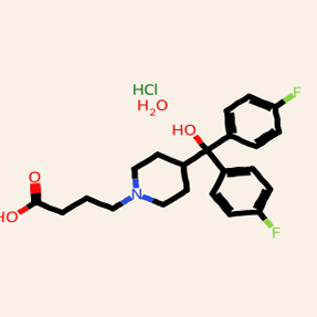 Cl.O.O=C(O)CCCN1CCC(C(O)(c2ccc(F)cc2)c2ccc(F)cc2)CC1